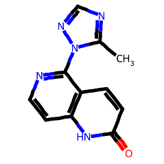 Cc1ncnn1-c1nccc2[nH]c(=O)ccc12